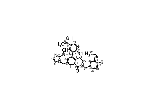 CNc1nccn1Cc1cc2c(c(-c3cc([C@@H](C)O)cnc3Cl)c1)CCN(Cc1ccc(F)c(OC)c1)C2=O